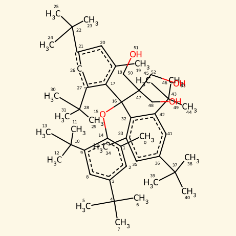 Cc1cc(C(C)(C)C)cc(C(C)(C)C)c1OC(c1c(C)cc(C(C)(C)C)cc1C(C)(C)C)(c1c(C)cc(C(C)(C)C)cc1C(C)(C)C)C(CO)(CO)CO